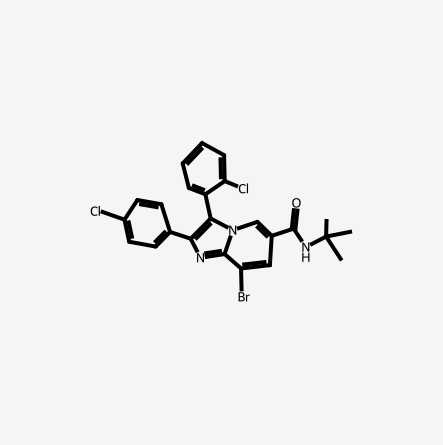 CC(C)(C)NC(=O)c1cc(Br)c2nc(-c3ccc(Cl)cc3)c(-c3ccccc3Cl)n2c1